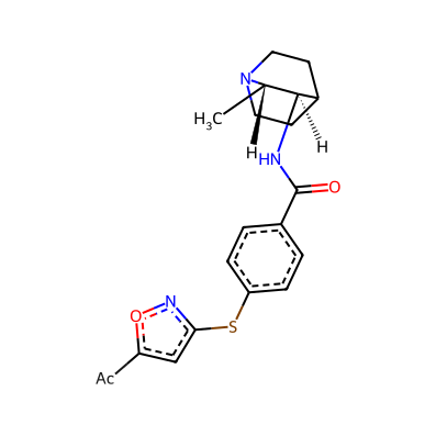 CC(=O)c1cc(Sc2ccc(C(=O)N[C@@H]3C4CCN(CC4)[C@H]3C)cc2)no1